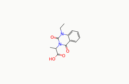 CCn1c(=O)n(C(C)C(=O)O)c(=O)c2ccccc21